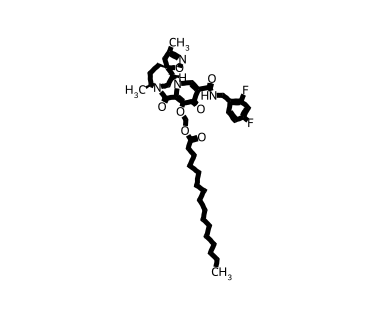 CCCCCCCCCCCCCCCC(=O)OCOc1c2n(cc(C(=O)NCc3ccc(F)cc3F)c1=O)[C@@H]1CN(C2=O)[C@@H](C)CC[C@]12CC(C)=NO2